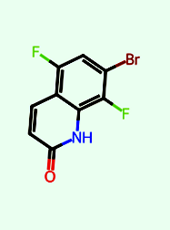 O=c1ccc2c(F)cc(Br)c(F)c2[nH]1